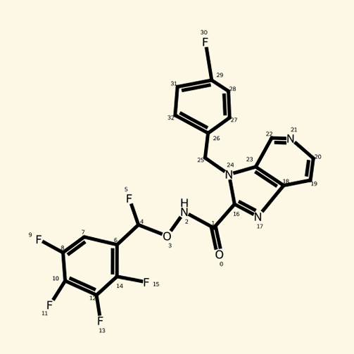 O=C(NOC(F)c1cc(F)c(F)c(F)c1F)c1nc2ccncc2n1Cc1ccc(F)cc1